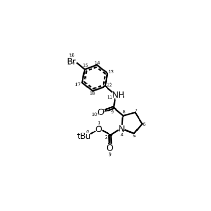 CC(C)(C)OC(=O)N1CCCC1C(=O)Nc1ccc(Br)cc1